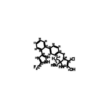 CCCCC1(C)NC(O)=C(Cl)N1Cc1ccc(-c2ccccc2-c2n[nH]c(C(F)(F)F)n2)cc1